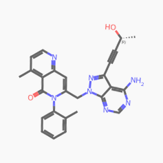 Cc1ccccc1-n1c(Cn2nc(C#C[C@@H](C)O)c3c(N)ncnc32)cc2nccc(C)c2c1=O